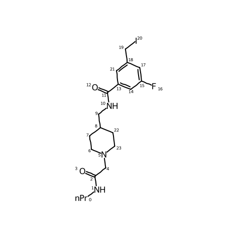 CCCNC(=O)CN1CCC(CNC(=O)c2cc(F)cc(CI)c2)CC1